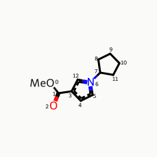 COC(=O)c1ccn(C2CCCC2)c1